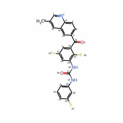 Cc1cnc2ccc(C(=O)c3cc(F)cc(NC(=O)Nc4cccc(F)c4)c3F)cc2c1